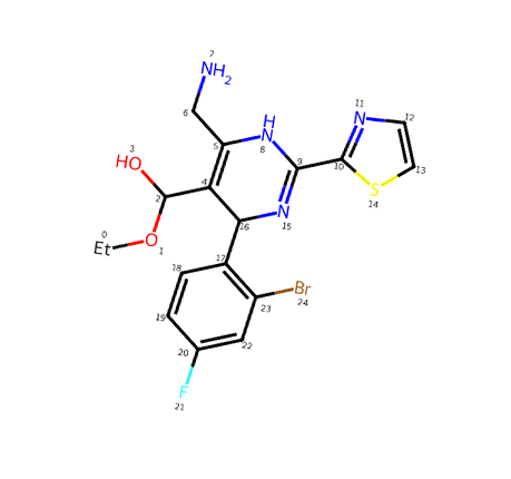 CCOC(O)C1=C(CN)NC(c2nccs2)=NC1c1ccc(F)cc1Br